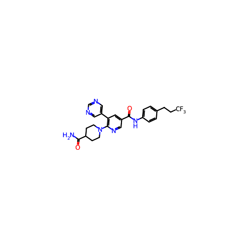 NC(=O)C1CCN(c2ncc(C(=O)Nc3ccc(CCC(F)(F)F)cc3)cc2-c2cncnc2)CC1